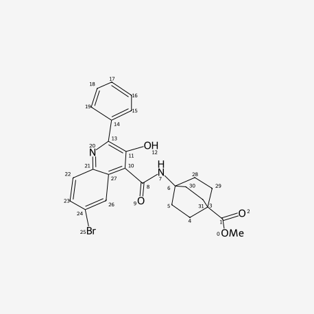 COC(=O)C12CCC(NC(=O)c3c(O)c(-c4ccccc4)nc4ccc(Br)cc34)(CC1)CC2